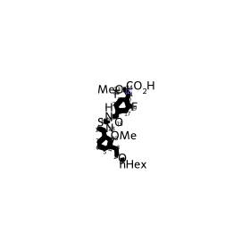 CCCCCCOCCc1cccc(-c2csc(NC(=O)c3cc(F)c(/C=C(\OC)C(=O)O)c(F)c3)n2)c1OC